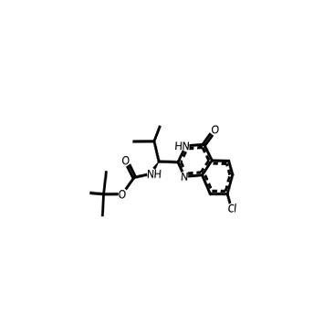 CC(C)[C@H](NC(=O)OC(C)(C)C)c1nc2cc(Cl)ccc2c(=O)[nH]1